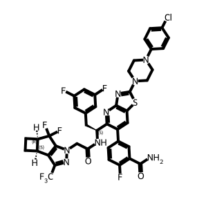 NC(=O)c1cc(-c2cc3sc(N4CCN(c5ccc(Cl)cc5)CC4)nc3nc2[C@H](Cc2cc(F)cc(F)c2)NC(=O)Cn2nc(C(F)(F)F)c3c2C(F)(F)[C@@H]2CC[C@H]32)ccc1F